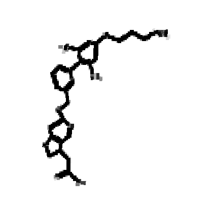 CSCCCOc1cc(C)c(-c2cccc(COc3cc4c(cn3)C(CC(=O)O)CO4)c2)c(C)c1